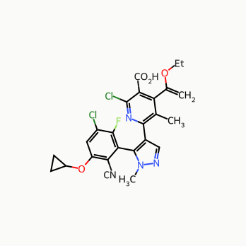 C=C(OCC)c1c(C)c(-c2cnn(C)c2-c2c(F)c(Cl)cc(OC3CC3)c2C#N)nc(Cl)c1C(=O)O